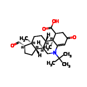 CC(C)(C)N1C[C@H]2[C@@H]3CC[C@H](C=O)[C@@]3(C)CC[C@@H]2[C@]2(C)C1=CC(=O)CC2C(=O)O